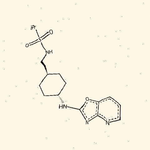 CC(C)S(=O)(=O)NC[C@H]1CC[C@H](Nc2nc3ncccc3o2)CC1